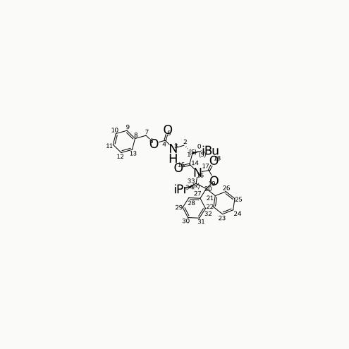 CC[C@H](C)[C@@H](CNC(=O)OCc1ccccc1)C(=O)N1C(=O)OC(c2ccccc2)(c2ccccc2)[C@H]1C(C)C